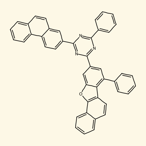 c1ccc(-c2nc(-c3ccc4c(ccc5ccccc54)c3)nc(-c3cc(-c4ccccc4)c4c(c3)oc3c5ccccc5ccc34)n2)cc1